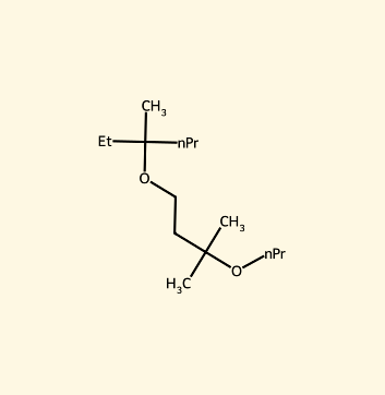 CCCOC(C)(C)CCOC(C)(CC)CCC